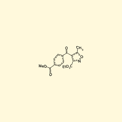 CCOC(=O)c1noc(C)c1C(=O)c1ccc(C(=O)OC)cc1